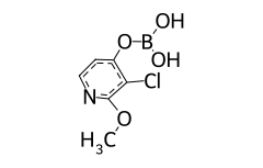 COc1nccc(OB(O)O)c1Cl